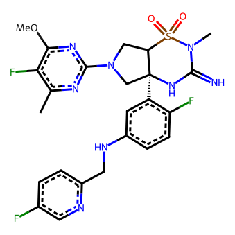 COc1nc(N2CC3[C@](c4cc(NCc5ccc(F)cn5)ccc4F)(C2)NC(=N)N(C)S3(=O)=O)nc(C)c1F